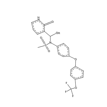 CS(=O)(=O)N(c1ccc(Oc2ccc(OC(F)(F)F)cc2)cc1)C(O)c1ccc[nH]c1=O